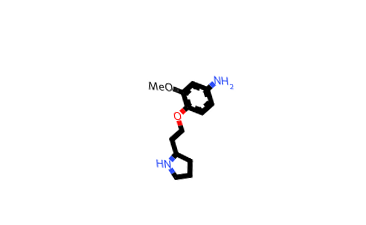 COc1cc(N)ccc1OCCC1CCCN1